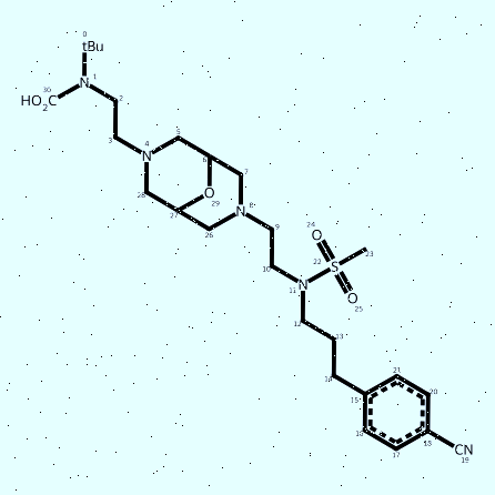 CC(C)(C)N(CCN1CC2CN(CCN(CCCc3ccc(C#N)cc3)S(C)(=O)=O)CC(C1)O2)C(=O)O